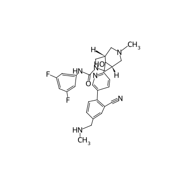 CNCc1ccc(-c2ccc(C3(O)[C@@H]4CN(C)C[C@H]3CN(C(=O)Nc3cc(F)cc(F)c3)C4)nc2)c(C#N)c1